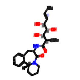 CO[C@@H](C(=O)NC1Cc2ccccc2[C@H]2CCCCN2C1=O)[C@H](O)[C@@H](O)[C@H](O)/C=C/C(C)(C)C